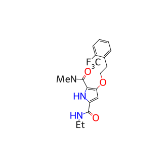 CCNC(=O)c1cc(OCCc2ccccc2C(F)(F)F)c(C(=O)NC)[nH]1